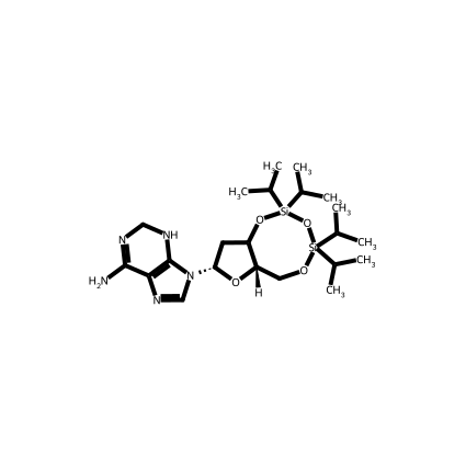 CC(C)[Si]1(C(C)C)OC[C@@H]2O[C@H](n3cnc4c3NCN=C4N)CC2O[Si](C(C)C)(C(C)C)O1